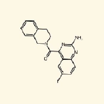 Nc1nc(C(=O)N2CCc3ccccc3C2)c2cc(I)ccc2n1